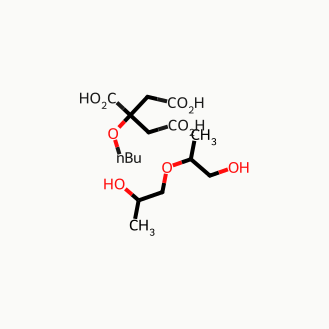 CC(O)COC(C)CO.CCCCOC(CC(=O)O)(CC(=O)O)C(=O)O